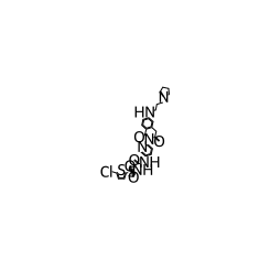 O=C(Nc1ccc(N2C(=O)Cc3cc(NCCCN4CCCC4)ccc3C2=O)nc1)NS(=O)(=O)c1ccc(Cl)s1